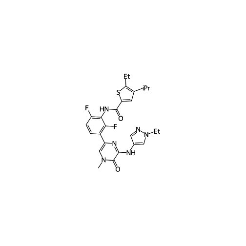 CCc1sc(C(=O)Nc2c(F)ccc(-c3cn(C)c(=O)c(Nc4cnn(CC)c4)n3)c2F)cc1C(C)C